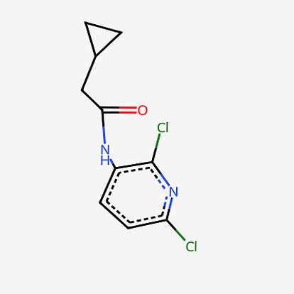 O=C(CC1CC1)Nc1ccc(Cl)nc1Cl